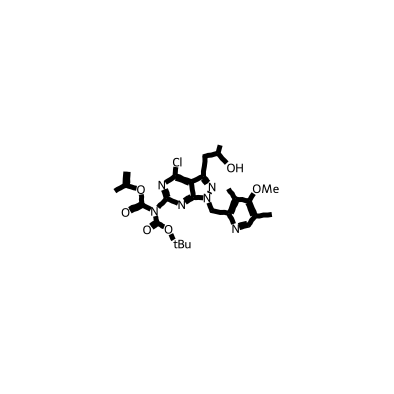 C=C(C)OC(=O)N(C(=O)OC(C)(C)C)c1nc(Cl)c2c(CC(C)O)nn(Cc3ncc(C)c(OC)c3C)c2n1